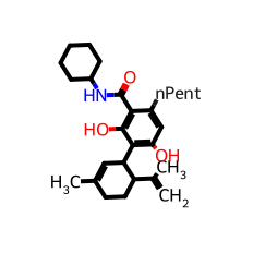 C=C(C)C1CCC(C)=CC1c1c(O)cc(CCCCC)c(C(=O)NC2CCCCC2)c1O